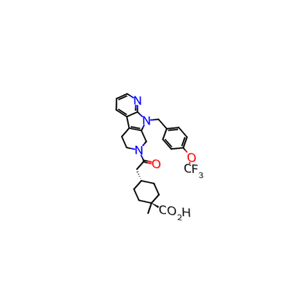 C[C@]1(C(=O)O)CC[C@H](CC(=O)N2CCc3c(n(Cc4ccc(OC(F)(F)F)cc4)c4ncccc34)C2)CC1